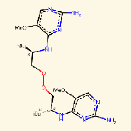 CCCC[C@H](COOC[C@@H](Nc1nc(N)ncc1OC)[C@@H](C)CC)Nc1nc(N)ncc1OC